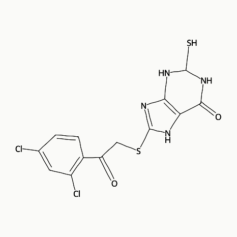 O=C(CSc1nc2c([nH]1)C(=O)NC(S)N2)c1ccc(Cl)cc1Cl